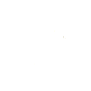 OP(c1ccccc1)c1ccccc1.[Br][Ir][Br]